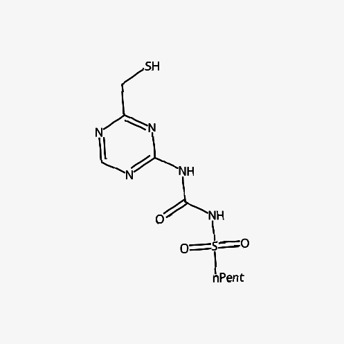 CCCCCS(=O)(=O)NC(=O)Nc1ncnc(CS)n1